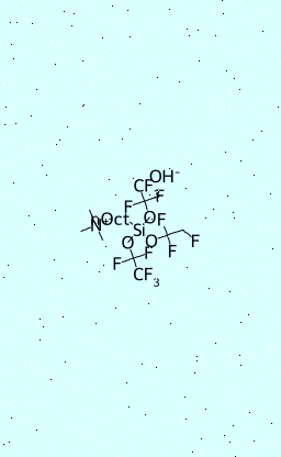 CCCCCCCC[Si](OC(F)(F)CF)(OC(F)(F)C(F)(F)F)OC(F)(F)C(F)(F)F.C[N+](C)(C)C.[OH-]